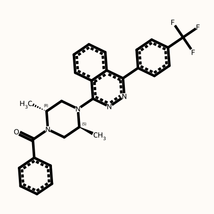 C[C@@H]1CN(c2nnc(-c3ccc(C(F)(F)F)cc3)c3ccccc23)[C@@H](C)CN1C(=O)c1ccccc1